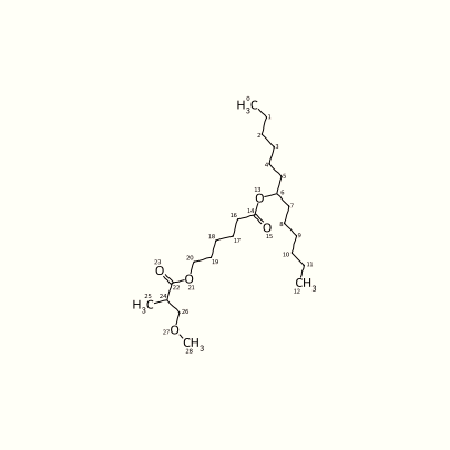 CCCCCCC(CCCCCC)OC(=O)CCCCCOC(=O)C(C)COC